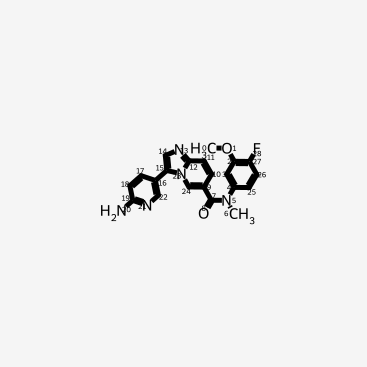 COc1cc(N(C)C(=O)c2ccc3ncc(-c4ccc(N)nc4)n3c2)ccc1F